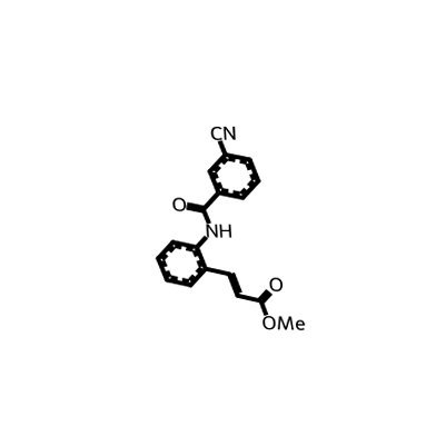 COC(=O)C=Cc1ccccc1NC(=O)c1cccc(C#N)c1